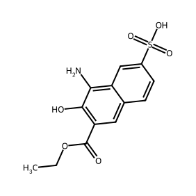 CCOC(=O)c1cc2ccc(S(=O)(=O)O)cc2c(N)c1O